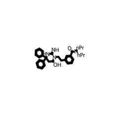 CCCN(CCC)C(=O)c1cccc(CCN2C(=N)NC(c3ccccc3)(c3ccccc3)CC2O)c1